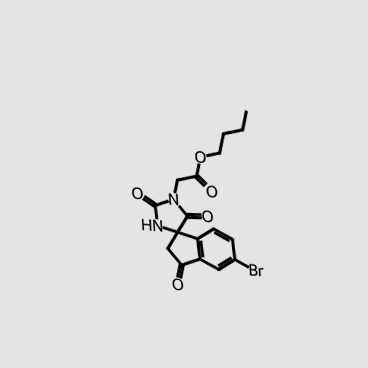 CCCCOC(=O)CN1C(=O)NC2(CC(=O)c3cc(Br)ccc32)C1=O